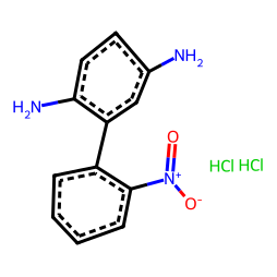 Cl.Cl.Nc1ccc(N)c(-c2ccccc2[N+](=O)[O-])c1